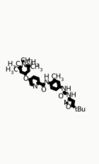 Cc1cc(NC(=O)Nc2cc(C(C)(C)C)on2)ccc1NC(=O)c1ccc(OC2CC(C)(C)N(C)C(C)(C)C2)cn1